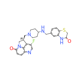 O=C1CSc2ccc(CNC3CCN(C[C@@H]4Cn5c(=O)ccc6ncc(F)c4c65)CC3)cc2N1